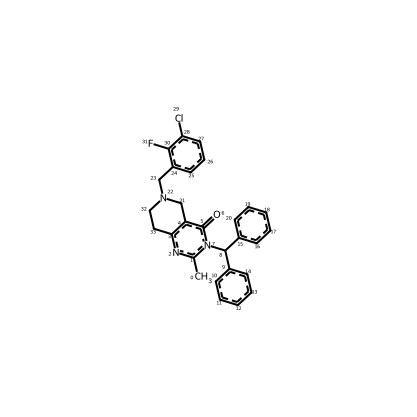 Cc1nc2c(c(=O)n1C(c1ccccc1)c1ccccc1)CN(Cc1cccc(Cl)c1F)CC2